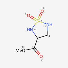 COC(=O)C1CNS(=O)(=O)N1